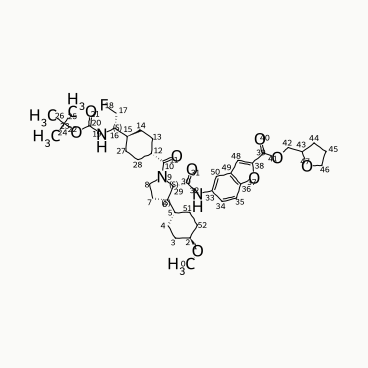 CO[C@H]1CC[C@H]([C@@H]2CCN(C(=O)[C@H]3CC[C@H]([C@@H](CF)NC(=O)OC(C)(C)C)CC3)[C@@H]2C(=O)Nc2ccc3oc(C(=O)OCC4CCCO4)cc3c2)CC1